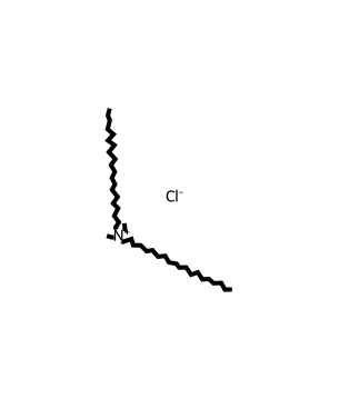 CCCCCCCCCCCCCCCCCCCC[N+](CC)(CC)CCCCCCCCCCCCCCCCCCCC.[Cl-]